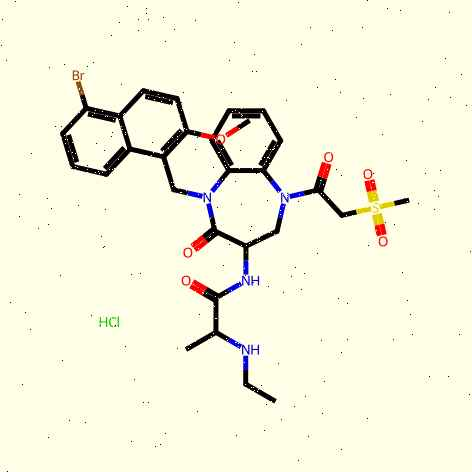 CCNC(C)C(=O)NC1CN(C(=O)CS(C)(=O)=O)c2ccccc2N(Cc2c(OC)ccc3c(Br)cccc23)C1=O.Cl